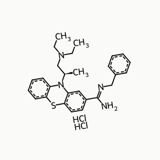 CCN(CC)C[C@@H](C)N1c2ccccc2Sc2ccc(C(N)=NCc3ccccc3)cc21.Cl.Cl